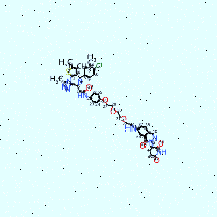 Cc1sc2c(c1C)C(C1=CC=C(Cl)C(C)C1)=N[C@@H](CC(=O)Nc1ccc(OCCOCCOCCNc3ccc4cnn(C5CCC(=O)NC5=O)c(=O)c4c3)cc1)c1nnc(C)n1-2